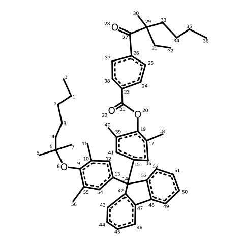 CCCCCC(C)(C)Oc1c(C)cc(C2(c3cc(C)c(OC(=O)c4ccc(C(=O)C(C)(CC)CCCC)cc4)c(C)c3)c3ccccc3-c3ccccc32)cc1C